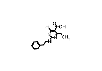 CCc1nc(NCCc2ccccc2)nc(Cl)c1C(=O)O